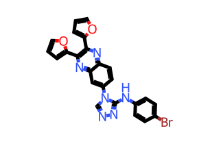 Brc1ccc(Nc2nncn2-c2ccc3nc(-c4ccco4)c(-c4ccco4)nc3c2)cc1